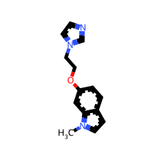 Cn1ccc2ccc(OCCn3ccnc3)cc21